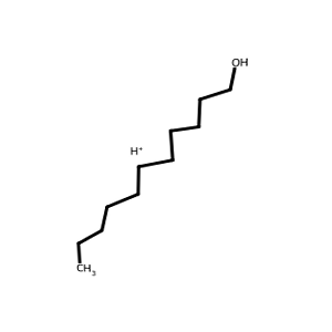 CCCCCCCCCCCO.[H+]